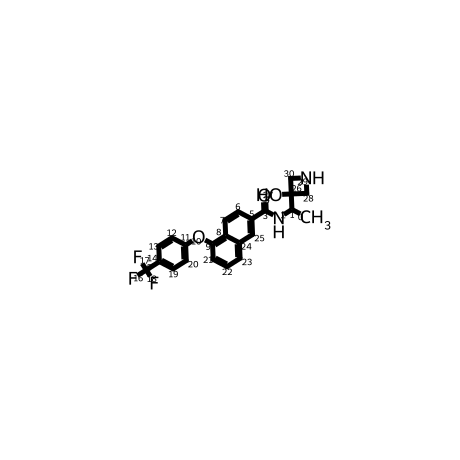 CC(NC(=O)c1ccc2c(Oc3ccc(C(F)(F)F)cc3)cccc2c1)C1(O)CNC1